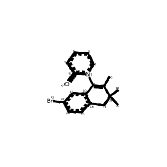 CC1=C(n2ccccc2=O)c2cc(Br)ccc2CC1(C)C